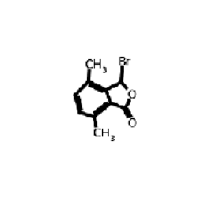 Cc1ccc(C)c2c1C(=O)OC2Br